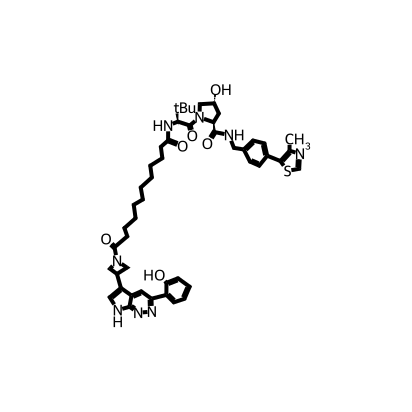 Cc1ncsc1-c1ccc(CNC(=O)[C@@H]2C[C@@H](O)CN2C(=O)[C@@H](NC(=O)CCCCCCCCCCC(=O)N2CC(c3c[nH]c4nnc(-c5ccccc5O)cc34)C2)C(C)(C)C)cc1